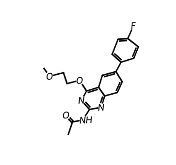 COCCOc1nc(NC(C)=O)nc2ccc(-c3ccc(F)cc3)cc12